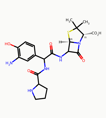 CC1(C)S[C@@H]2C(NC(=O)C(NC(=O)C3CCCN3)c3ccc(O)c(N)c3)C(=O)N2[C@H]1C(=O)O